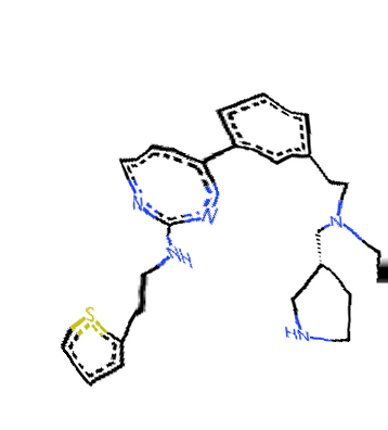 CCN(Cc1cccc(-c2ccnc(NCCc3cccs3)n2)c1)C[C@@H]1CCNC1